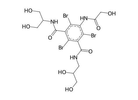 O=C(CO)Nc1c(Br)c(C(=O)NCC(O)CO)c(Br)c(C(=O)NC(CO)CO)c1Br